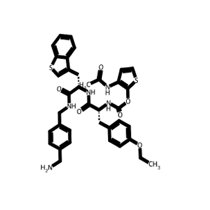 CCOc1ccc(C[C@@H](NC(=O)Oc2sccc2NC(C)=O)C(=O)N[C@@H](Cc2csc3ccccc23)C(=O)NCc2ccc(CN)cc2)cc1